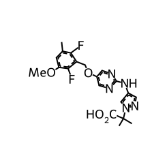 COc1cc(C)c(F)c(COc2cnc(Nc3cnn(C(C)(C)C(=O)O)c3)nc2)c1F